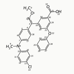 CON=C(c1ccc(N(C)c2ccc(Cl)cc2)cc1)c1cc(Oc2ccccc2)cc(C(=O)O)c1